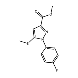 COC(=O)c1cc(SC)n(-c2ccc(F)cc2)n1